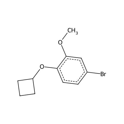 COc1cc(Br)ccc1OC1CCC1